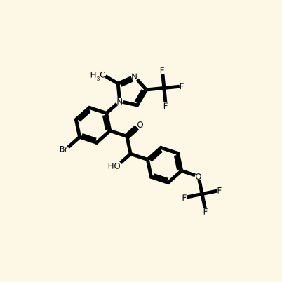 Cc1nc(C(F)(F)F)cn1-c1ccc(Br)cc1C(=O)C(O)c1ccc(OC(F)(F)F)cc1